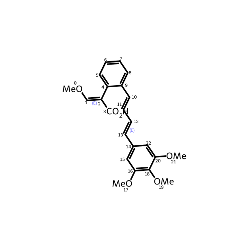 CO/C=C(/C(=O)O)c1ccccc1C=C/C=C/c1cc(OC)c(OC)c(OC)c1